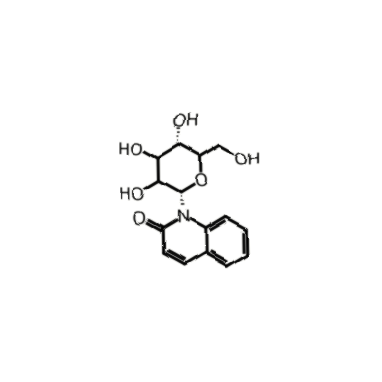 O=c1ccc2ccccc2n1[C@H]1OC(CO)[C@@H](O)C(O)C1O